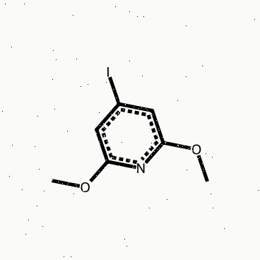 COc1cc(I)cc(OC)n1